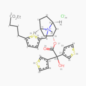 CCOC(=O)CCCc1ccc(C[N+]2(C)[C@@H]3CC[C@H]2C[C@H](OC(=O)C(O)(c2ccsc2)c2ccsc2)C3)s1.[Cl-]